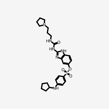 O=C(NCCCN1CCCC1)Nc1nc2cc(OS(=O)(=O)c3ccc(NC4CCCC4)cc3)ccc2[nH]1